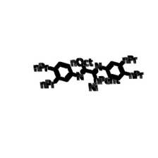 CCCCCCCCC(=N\c1ccc(CCC)c(CCC)c1)/C(CCCCC)=N/c1ccc(CCC)c(CCC)c1.[Ni]